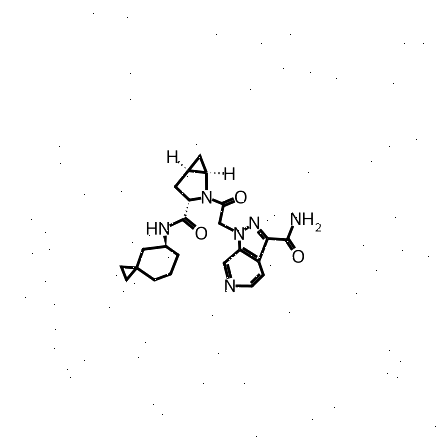 NC(=O)c1nn(CC(=O)N2[C@@H]3C[C@@H]3C[C@H]2C(=O)N[C@H]2CCCC3(CC3)C2)c2cnccc12